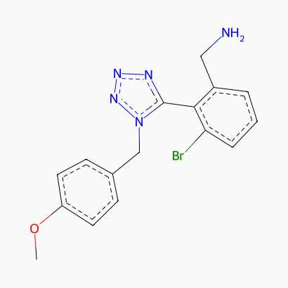 COc1ccc(Cn2nnnc2-c2c(Br)cccc2CN)cc1